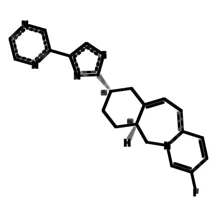 FC1=CN2C[C@H]3CC[C@H](c4nc(-c5cnccn5)cs4)CC3=CC=C2C=C1